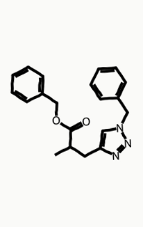 CC(Cc1cn(Cc2ccccc2)nn1)C(=O)OCc1ccccc1